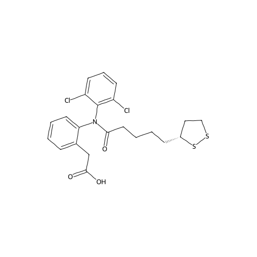 O=C(O)Cc1ccccc1N(C(=O)CCCC[C@@H]1CCSS1)c1c(Cl)cccc1Cl